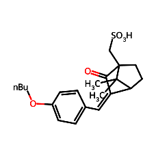 CCCCOc1ccc(C=C2C(=O)C3(CS(=O)(=O)O)CCC2C3(C)C)cc1